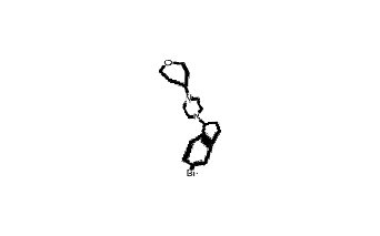 Brc1ccc2c(c1)CCC2N1CCN(C2CCOCC2)CC1